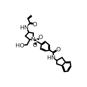 C=CC(=O)NC1CC(CO)N(S(=O)(=O)c2ccc(C(=O)NC3Cc4ccccc4C3)cc2)C1